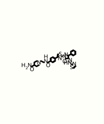 NC(=O)C1CCN(CCNC(=O)c2ccc(-c3csc(N4N=C(c5ccccc5)C(=NNc5nccs5)C4=O)n3)cc2)CC1